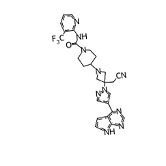 N#CCC1(n2cc(-c3ncnc4[nH]ccc34)cn2)CN(C2CCN(C(=O)Nc3ncccc3C(F)(F)F)CC2)C1